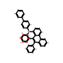 c1ccc(-c2ccc(N(c3ccccc3)c3cccc4c3c(-c3ccccc3)c(-c3ccccc3)c3ccccc34)cc2)cc1